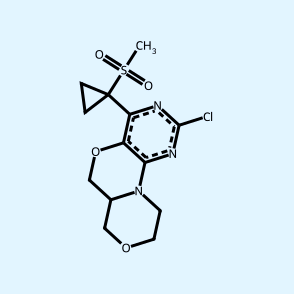 CS(=O)(=O)C1(c2nc(Cl)nc3c2OCC2COCCN32)CC1